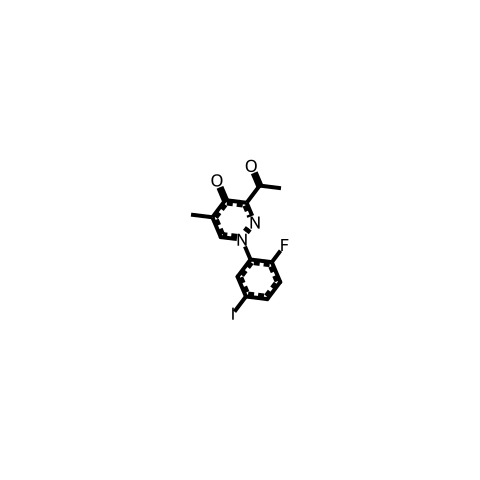 CC(=O)c1nn(-c2cc(I)ccc2F)cc(C)c1=O